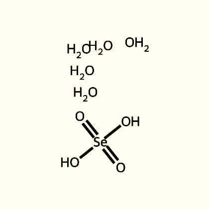 O.O.O.O.O.O=[Se](=O)(O)O